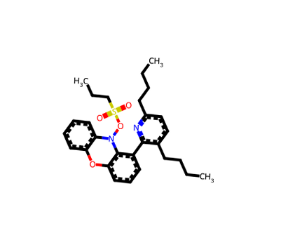 CCCCc1ccc(CCCC)c(-c2cccc3c2N(OS(=O)(=O)CCC)c2ccccc2O3)n1